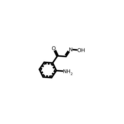 Nc1ccccc1C(=O)C=NO